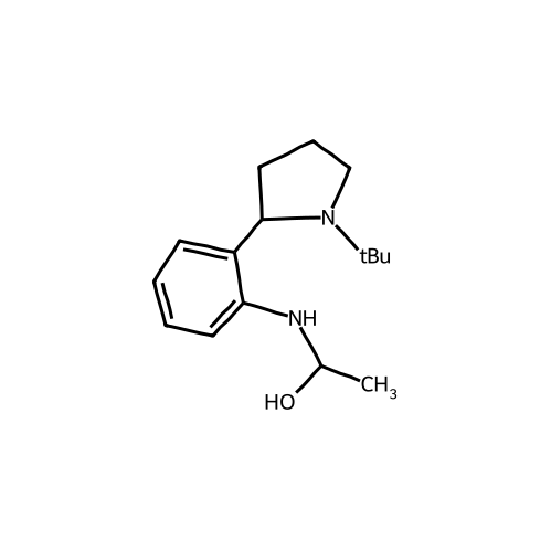 CC(O)Nc1ccccc1C1CCCN1C(C)(C)C